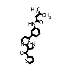 CC(C)=CC(=O)Nc1cccc(-c2ccnc3c(C(=O)c4cccs4)cnn23)c1